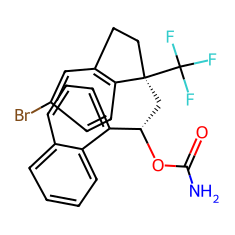 NC(=O)O[C@@H](C[C@@]1(C(F)(F)F)CCc2cc(Br)ccc21)c1cccc2ccccc12